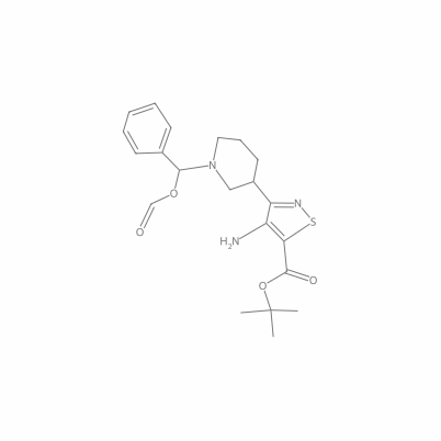 CC(C)(C)OC(=O)c1snc(C2CCCN(C(OC=O)c3ccccc3)C2)c1N